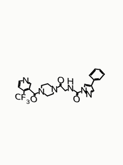 O=C(CNC(=O)n1cc(-c2ccccc2)cn1)N1CCN(C(=O)c2cnccc2C(F)(F)F)CC1